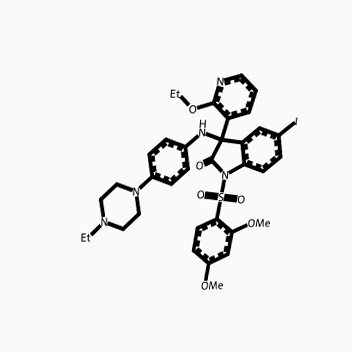 CCOc1ncccc1C1(Nc2ccc(N3CCN(CC)CC3)cc2)C(=O)N(S(=O)(=O)c2ccc(OC)cc2OC)c2ccc(I)cc21